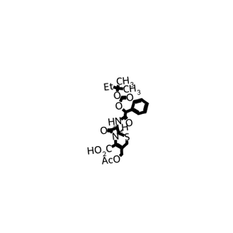 CCC(C)(C)OC(=O)OC(C(=O)N[C@@H]1C(=O)N2C(C(=O)O)=C(COC(C)=O)CS[C@H]12)c1ccccc1